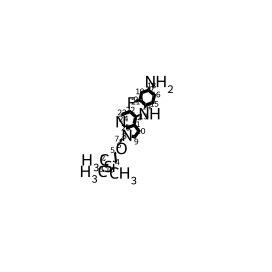 C[Si](C)(C)CCOCn1ccc2c(Nc3ccc(N)cc3F)ccnc21